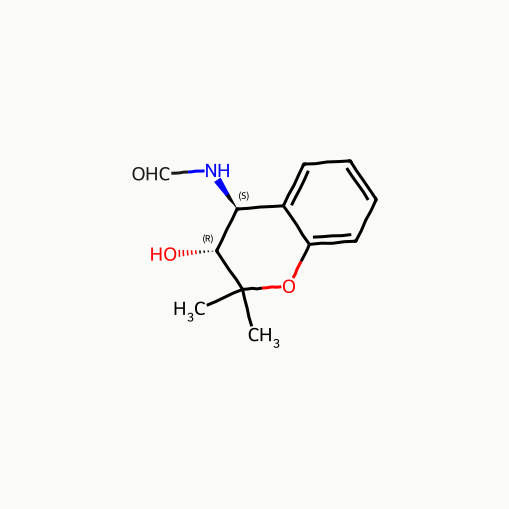 CC1(C)Oc2ccccc2[C@H](NC=O)[C@H]1O